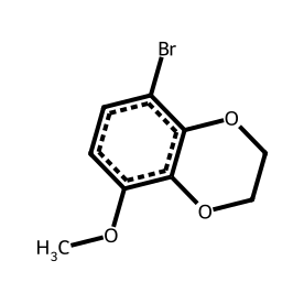 COc1ccc(Br)c2c1OCCO2